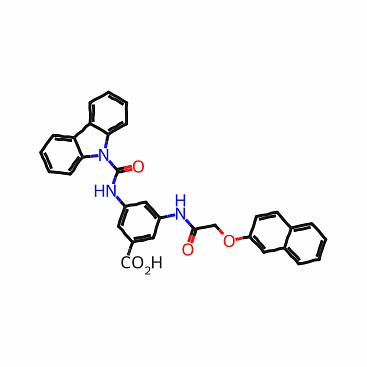 O=C(COc1ccc2ccccc2c1)Nc1cc(NC(=O)n2c3ccccc3c3ccccc32)cc(C(=O)O)c1